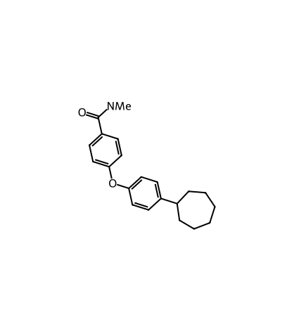 CNC(=O)c1ccc(Oc2ccc(C3CCCCCC3)cc2)cc1